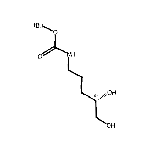 CC(C)(C)OC(=O)NCCC[C@H](O)CO